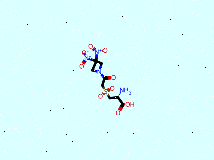 N[C@@H](CS(=O)(=O)CC(=O)N1CC([N+](=O)[O-])([N+](=O)[O-])C1)C(=O)O